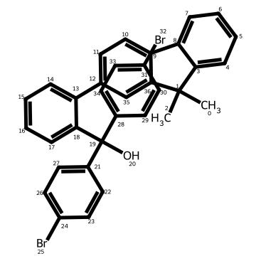 CC1(C)c2ccccc2-c2ccc(-c3ccccc3C(O)(c3ccc(Br)cc3)c3ccc(Br)cc3)cc21